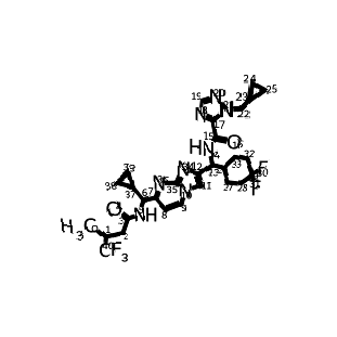 CC(CC(=O)NC(c1ccn2cc(C(NC(=O)c3ncnn3CC3CC3)C3CCC(F)(F)CC3)nc2n1)C1CC1)C(F)(F)F